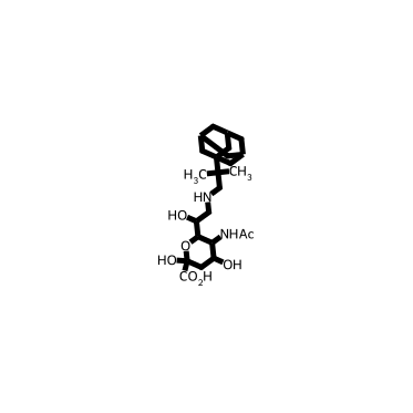 CC(=O)NC1C(O)CC(O)(C(=O)O)OC1C(O)CNCC(C)(C)C12CC3CC(CC(C3)C1)C2